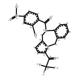 O=C(c1ccc([N+](=O)[O-])cc1Cl)N1Cc2ccc(C(=O)C(F)(F)F)n2Cc2ccccc21